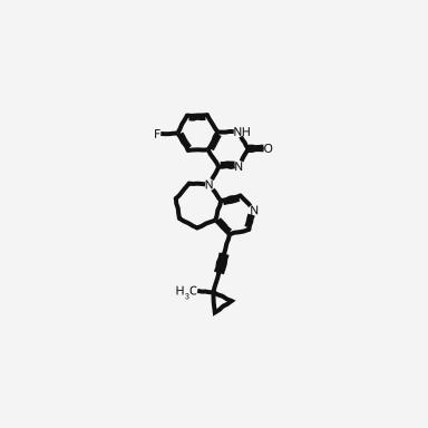 CC1(C#Cc2cncc3c2CCCCN3c2nc(=O)[nH]c3ccc(F)cc23)CC1